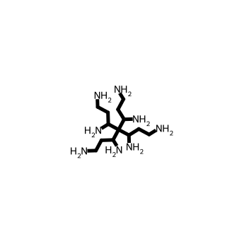 NCCC(N)C(C(N)CCN)(C(N)CCN)C(N)CCN